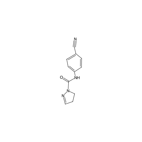 N#Cc1ccc(NC(=O)N2CCC=N2)cc1